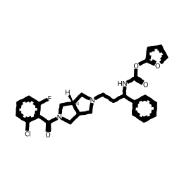 O=C(NC(CCN1CC2CN(C(=O)c3c(F)cccc3Cl)C[C@@H]2C1)c1ccccc1)Oc1ccco1